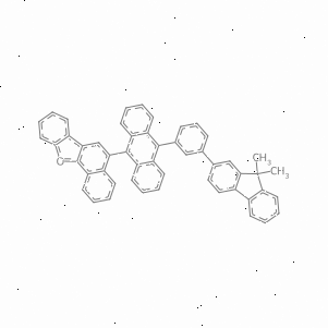 CC1(C)c2ccccc2-c2ccc(-c3cccc(-c4c5ccccc5c(-c5cc6c7ccccc7oc6c6ccccc56)c5ccccc45)c3)cc21